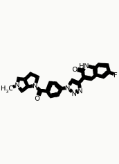 CN1CC2CCN(C(=O)c3ccc(-n4cc(-c5cc6cc(F)ccc6[nH]c5=O)nn4)cc3)C2C1